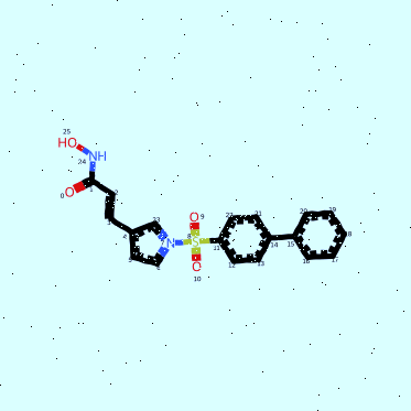 O=C(C=Cc1ccn(S(=O)(=O)c2ccc(-c3ccccc3)cc2)c1)NO